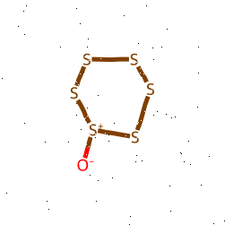 [O-][S+]1SSSSS1